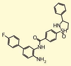 Nc1ccc(-c2ccc(F)cc2)cc1NC(=O)c1ccc([SH]2(=O)CCC(c3ccccc3)N2)cc1